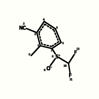 Cc1c(C#N)cccc1[S+]([O-])C(F)F